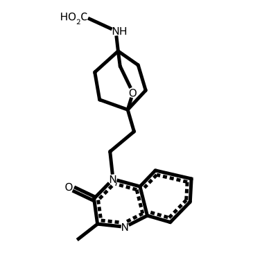 Cc1nc2ccccc2n(CCC23CCC(NC(=O)O)(CC2)CO3)c1=O